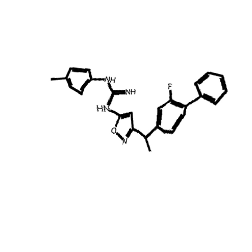 Cc1ccc(NC(=N)Nc2cc(C(C)c3ccc(-c4ccccc4)c(F)c3)no2)cc1